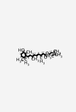 CC1=C(/C=C/C(C)=C/C=C/C(C)=C/C(=O)OCC[Si](C)(C)C)C(C)(C)CCC1O